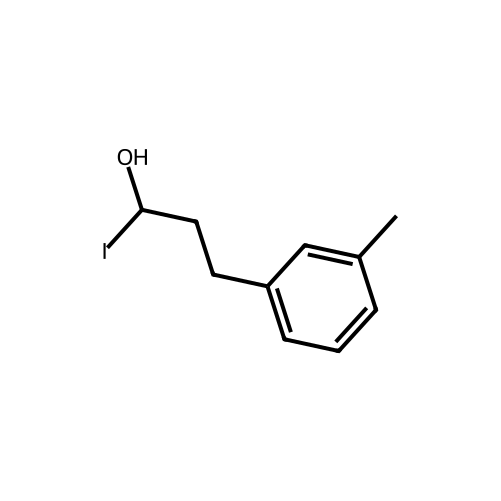 Cc1cccc(CCC(O)I)c1